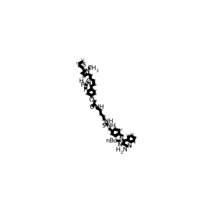 CCCCc1nc2c(N)nc3ccccc3c2n1Cc1ccc(CNC(=S)NCCCCCNC(=O)COc2ccc(C(/C=C\C(C)=C\c3ccc(-c4cccs4)n3C)=N\B(F)F)cc2)cc1